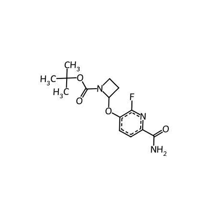 CC(C)(C)OC(=O)N1CCC1Oc1ccc(C(N)=O)nc1F